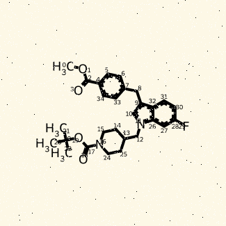 COC(=O)c1ccc(Cc2cn(CC3CCN(C(=O)OC(C)(C)C)CC3)c3cc(F)ccc23)cc1